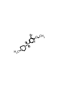 CCOc1ncc(S(=O)(=O)N2CCN(C)CC2)cc1Br